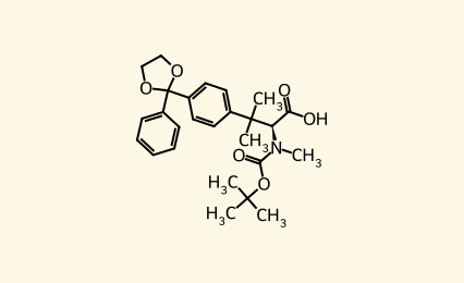 CN(C(=O)OC(C)(C)C)[C@H](C(=O)O)C(C)(C)c1ccc(C2(c3ccccc3)OCCO2)cc1